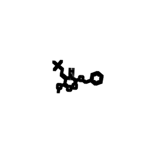 COC(=O)/C(=C/CC(C)(C)C)NC(=O)OCc1ccccc1